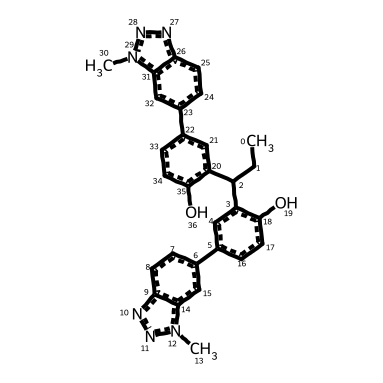 CCC(c1cc(-c2ccc3nnn(C)c3c2)ccc1O)c1cc(-c2ccc3nnn(C)c3c2)ccc1O